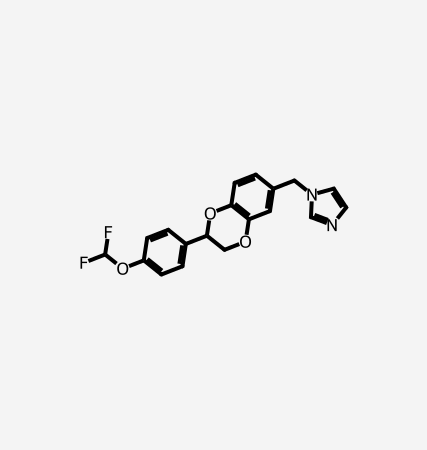 FC(F)Oc1ccc(C2COc3cc(Cn4ccnc4)ccc3O2)cc1